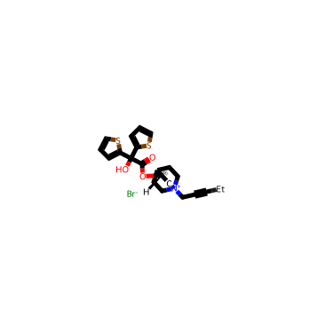 CCC#CC[N+]12CCC(CC1)[C@@H](OC(=O)C(O)(c1cccs1)c1cccs1)C2.[Br-]